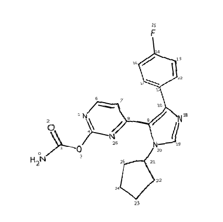 NC(=O)Oc1nccc(-c2c(-c3ccc(F)cc3)ncn2C2CCCC2)n1